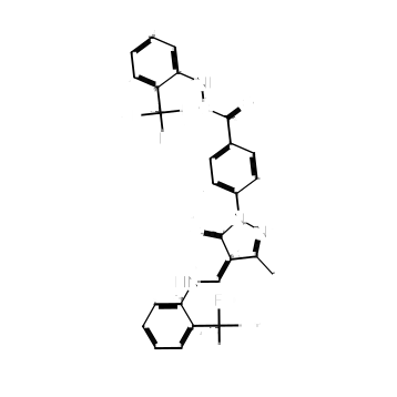 CC1=NN(c2ccc(C(=O)ONc3ccccc3C(F)(F)F)cc2)C(=O)C1=CNc1ccccc1C(F)(F)F